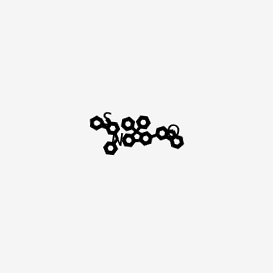 c1ccc(N(c2ccc3c(c2)C(c2ccccc2)(c2ccccc2)c2cc(-c4ccc5oc6ccccc6c5c4)ccc2-3)c2ccc3sc4ccccc4c3c2)cc1